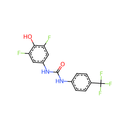 O=C(Nc1ccc(C(F)(F)F)cc1)Nc1cc(F)c(O)c(F)c1